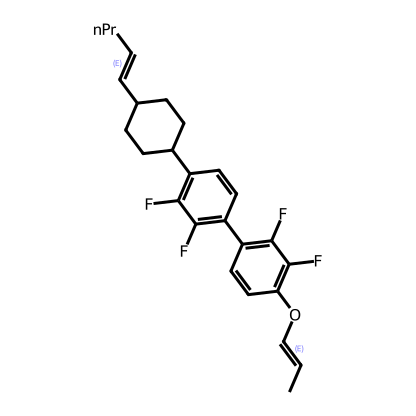 C/C=C/Oc1ccc(-c2ccc(C3CCC(/C=C/CCC)CC3)c(F)c2F)c(F)c1F